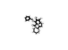 O=C1c2c(OCc3ccccc3)c(=O)c(I)c3n2C(CC3)C2OCCCCN12